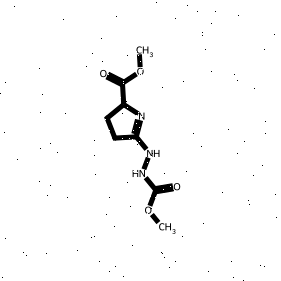 COC(=O)NNC1=NC(C(=O)OC)CC1